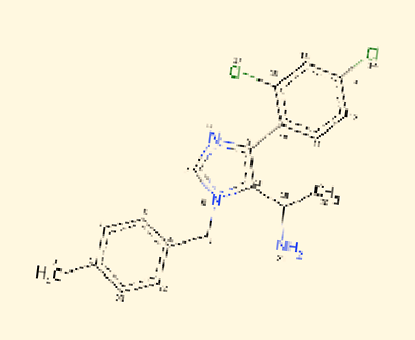 Cc1ccc(Cn2cnc(-c3ccc(Cl)cc3Cl)c2C(C)N)cc1